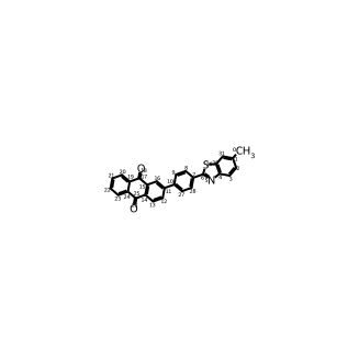 Cc1ccc2nc(-c3ccc(-c4ccc5c(c4)C(=O)c4ccccc4C5=O)cc3)sc2c1